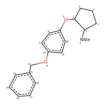 CNC1CCCC1Oc1ccc(OCc2ccccc2)cc1